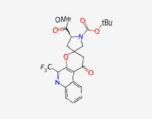 COC(=O)[C@@H]1CC2(CC(=O)c3c(c(C(F)(F)F)nc4ccccc34)O2)CN1C(=O)OC(C)(C)C